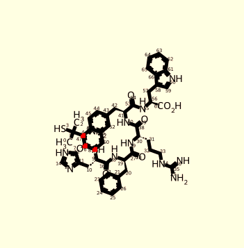 CC(C)(S)[C@H](N)C(=O)N[C@@H](Cc1c[nH]cn1)C(=O)N[C@H](Cc1ccccc1)C(=O)N[C@@H](CCCNC(=N)N)C(=O)N[C@@H](Cc1ccc2ccccc2c1)C(=O)N[C@@H](Cc1c[nH]c2ccccc12)C(=O)O